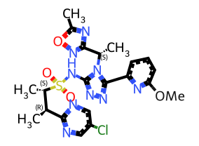 COc1cccc(-c2nnc(NS(=O)(=O)[C@@H](C)[C@H](C)c3ncc(Cl)cn3)n2[C@@H](C)c2noc(C)n2)n1